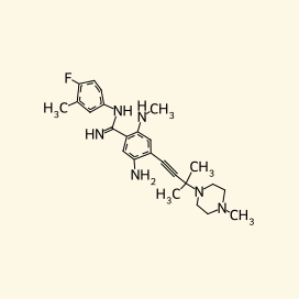 CNc1cc(C#CC(C)(C)N2CCN(C)CC2)c(N)cc1C(=N)Nc1ccc(F)c(C)c1